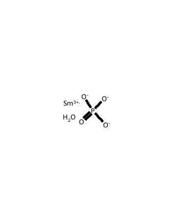 O.O=P([O-])([O-])[O-].[Sm+3]